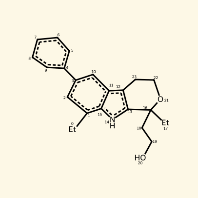 CCc1cc(-c2ccccc2)cc2c3c([nH]c12)C(CC)(CCO)OCC3